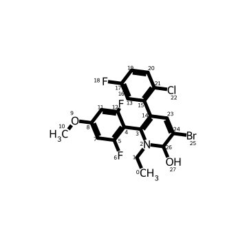 CCN1C(c2c(F)cc(OC)cc2F)=C(c2cc(F)ccc2Cl)C=C(Br)C1O